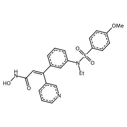 CCN(c1cccc(C(=CC(=O)NO)c2cccnc2)c1)S(=O)(=O)c1ccc(OC)cc1